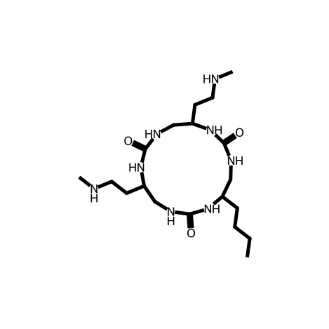 CCCCC1CNC(=O)NC(CCNC)CNC(=O)NC(CCNC)CNC(=O)N1